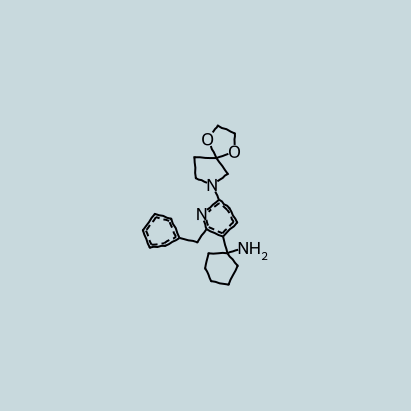 NC1(c2ccc(N3CCC4(C3)OCCO4)nc2Cc2ccccc2)CCCCC1